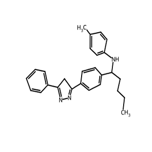 CCCCC(Nc1ccc(C)cc1)c1ccc(C2=NN=C(c3ccccc3)C2)cc1